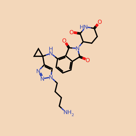 NCCCCn1cc(C2(Nc3cccc4c3C(=O)N(C3CCC(=O)NC3=O)C4=O)CC2)nn1